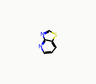 [c]1cnc2ncsc2c1